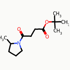 CC1CCCN1C(=O)CCC(=O)OC(C)(C)C